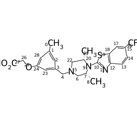 Cc1cc(CN2C[C@@H](C)N(c3nc4ccc(C(F)(F)F)cc4s3)[C@@H](C)C2)cc(OCC(=O)O)c1